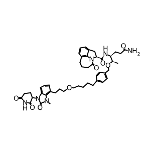 C[C@@H](OCc1ccc(CCCCCOCCCc2cccc3c2n(C)c(=O)n3C2CCC(=O)NC2=O)cc1)[C@H](CCC(N)=O)NC(=O)[C@@H]1Cc2cccc3c2N1C(=O)CCC3